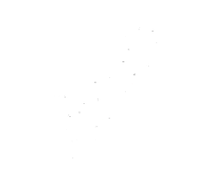 O=C(O)CC(c1ccc(OC2Cc3ccccc3C2)cc1)c1ccc(F)cc1F